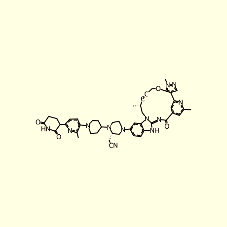 Cc1cc2cc(n1)-c1cnn(C)c1OCCC[C@@H](C)CN1/C(=N/C2=O)Nc2ccc(N3CCN(C4CCN(c5ccc(C6CCC(=O)NC6=O)nc5C)CC4)[C@@H](CC#N)C3)cc21